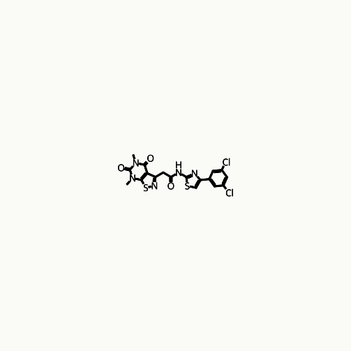 Cn1c(=O)c2c(CC(=O)Nc3nc(-c4cc(Cl)cc(Cl)c4)cs3)nsc2n(C)c1=O